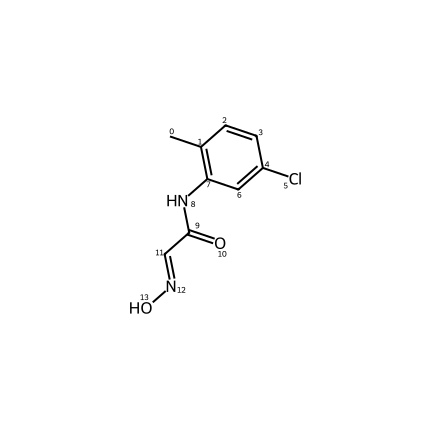 Cc1ccc(Cl)cc1NC(=O)/C=N/O